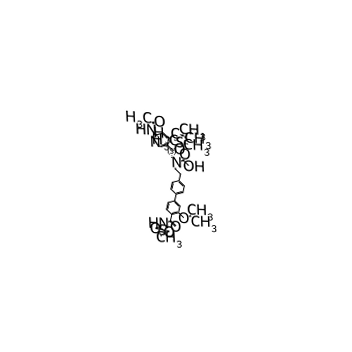 CC(=O)Nc1ccc([C@@H](CN(CCc2ccc(-c3ccc(C(=O)NS(C)(=O)=O)c(OC(C)C)c3)cc2)C(=O)O)O[Si](C)(C)C(C)(C)C)cn1